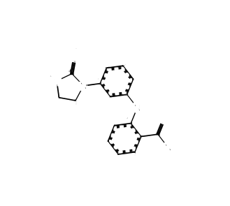 NC(=O)c1ccccc1Nc1cccc(N2CCOC2=O)c1